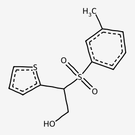 Cc1cccc(S(=O)(=O)C(CO)c2cccs2)c1